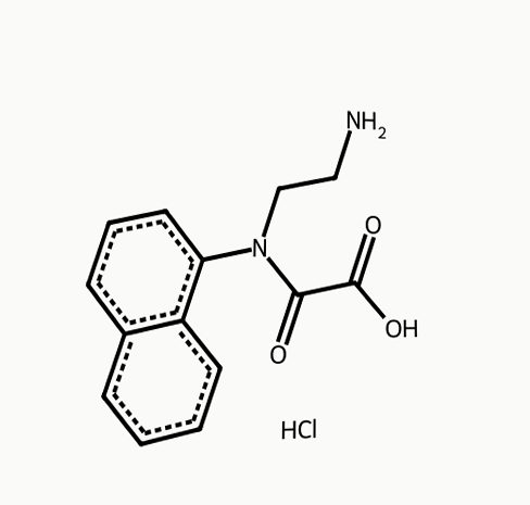 Cl.NCCN(C(=O)C(=O)O)c1cccc2ccccc12